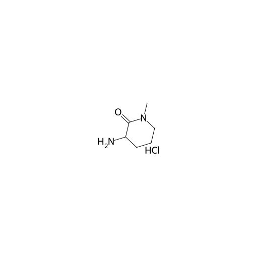 CN1CCCC(N)C1=O.Cl